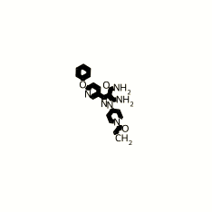 C=CC(=O)N1CCC(n2nc(-c3ccc(Oc4ccccc4)nc3)c(C(N)=O)c2N)CC1